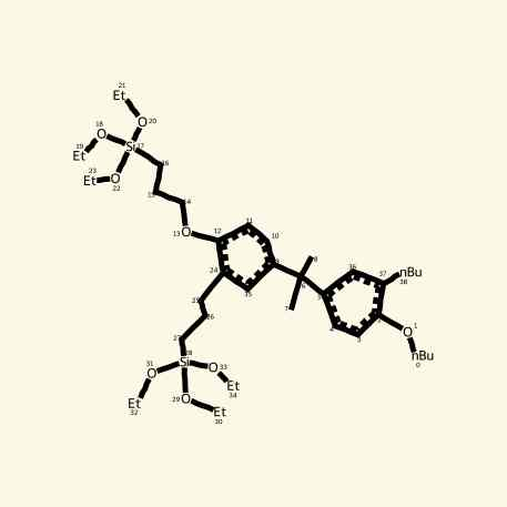 CCCCOc1ccc(C(C)(C)c2ccc(OCCC[Si](OCC)(OCC)OCC)c(CCC[Si](OCC)(OCC)OCC)c2)cc1CCCC